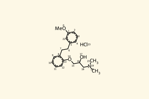 COc1cccc(CCc2ccccc2OCC(O)CN(C)C)c1.Cl